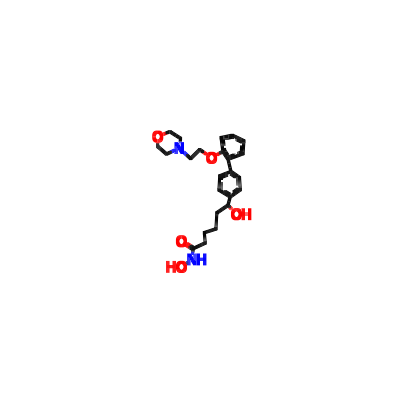 O=C(CCCCC(O)c1ccc(-c2ccccc2OCCN2CCOCC2)cc1)NO